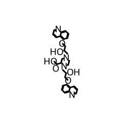 O=C(O)C1CN(C[C@@H](O)COc2cccc3ncccc23)CCN1C[C@@H](O)COc1cccc2ncccc12